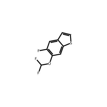 Fc1cc2c[c]sc2cc1OC(F)F